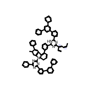 C=C/C(=C\C=C/C)C1=NC(c2cccc(C3=C4C5=C(CC(C)C(c6ccccc6)=C5)N(c5nc(-c6ccccc6)nc(-c6cccc(-c7cccc(-c8ccccc8)c7)c6)n5)C4CC=C3)c2)NC(c2cccc(-c3cc(-c4ccccc4)cc(-c4ccccc4)c3)c2)=N1